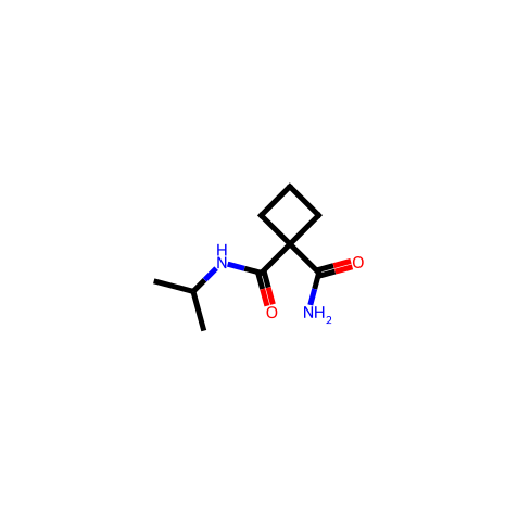 CC(C)NC(=O)C1(C(N)=O)CCC1